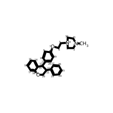 CN1CCN(CCOc2ccc(C3c4ccccc4OCC3c3ccccc3)cc2)CC1